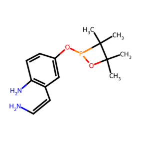 CC1(C)OP(Oc2ccc(N)c(/C=C\N)c2)C1(C)C